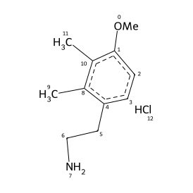 COc1ccc(CCN)c(C)c1C.Cl